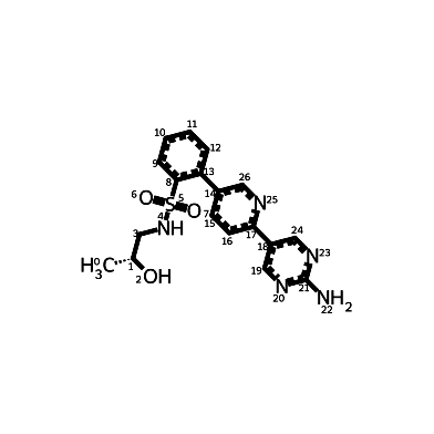 C[C@@H](O)CNS(=O)(=O)c1ccccc1-c1ccc(-c2cnc(N)nc2)nc1